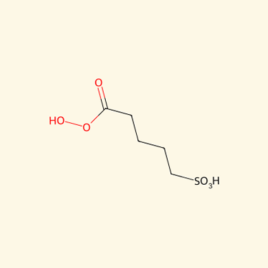 O=C(CCCCS(=O)(=O)O)OO